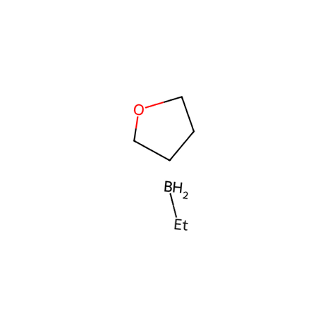 BCC.C1CCOC1